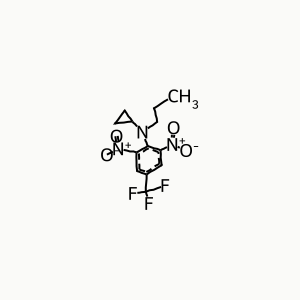 CCCN(c1c([N+](=O)[O-])cc(C(F)(F)F)cc1[N+](=O)[O-])C1CC1